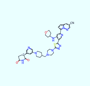 N#Cc1cnn2c(-c3cc(NC4CCOCC4)c(-c4nnc(N5CCN(CC6CCN(c7cncc([C@@H]8CCC(=O)NC8=O)c7)CC6)CC5)s4)cn3)ccc2c1